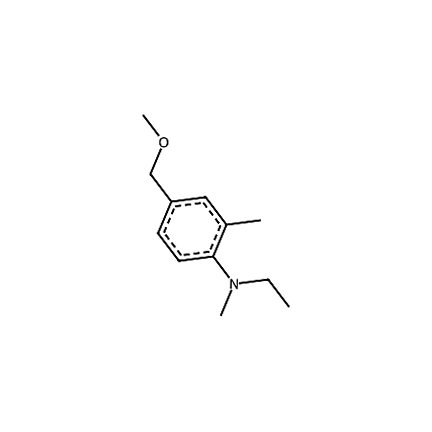 CCN(C)c1ccc(COC)cc1C